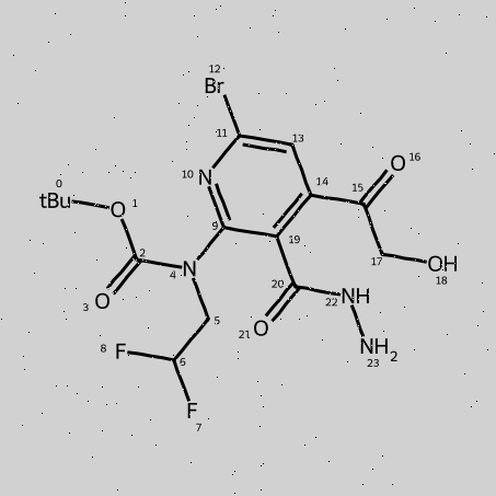 CC(C)(C)OC(=O)N(CC(F)F)c1nc(Br)cc(C(=O)CO)c1C(=O)NN